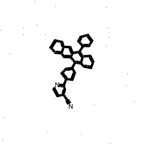 N#Cc1ccnc(-c2ccc(-c3c4ccccc4c(-c4ccccc4)c4cc5ccccc5cc34)cc2)c1